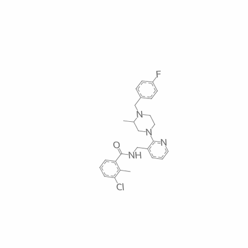 Cc1c(Cl)cccc1C(=O)NCc1cccnc1N1CCN(Cc2ccc(F)cc2)C(C)C1